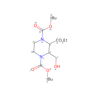 CCOC(=O)C1C(CO)N(C(=O)OC(C)(C)C)CCN1C(=O)OC(C)(C)C